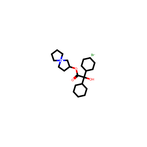 O=C(OC1CC[N+]2(CCCC2)C1)C(O)(C1CCCCC1)C1CCCCC1.[Br-]